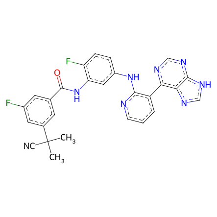 CC(C)(C#N)c1cc(F)cc(C(=O)Nc2cc(Nc3ncccc3-c3ncnc4[nH]cnc34)ccc2F)c1